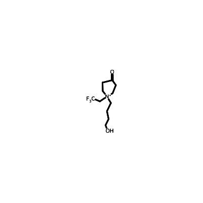 O=C1CC[N+](CCCCO)(CC(F)(F)F)CC1